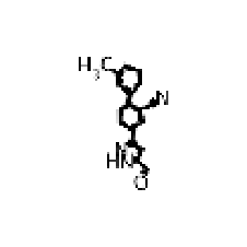 Cc1cccc(-c2ccc(-c3cc(C=O)[nH]n3)cc2C#N)c1